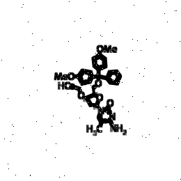 C#CCO[C@H]1C[C@H](n2cc(C)c(N)nc2=O)O[C@@H]1COC(c1ccccc1)(c1ccc(OC)cc1)c1ccc(OC)cc1